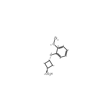 O=C(O)[C@H]1C[C@H](Oc2ccccc2OC(F)(F)F)C1